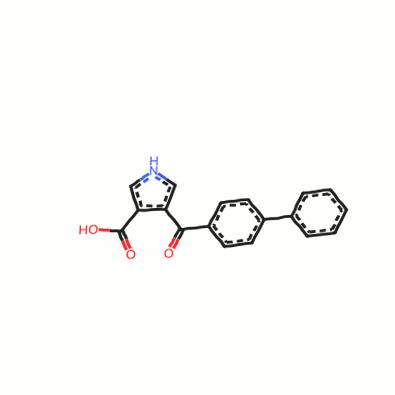 O=C(O)c1c[nH]cc1C(=O)c1ccc(-c2ccccc2)cc1